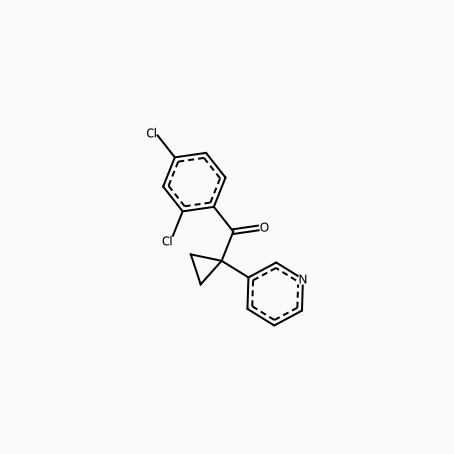 O=C(c1ccc(Cl)cc1Cl)C1(c2cccnc2)CC1